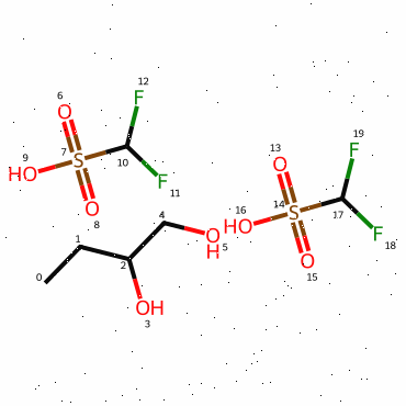 CCC(O)CO.O=S(=O)(O)C(F)F.O=S(=O)(O)C(F)F